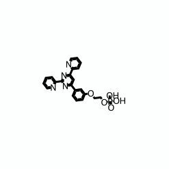 O=P(O)(O)OCCOc1cccc(-c2cc(-c3ccccn3)nc(-c3ccccn3)n2)c1